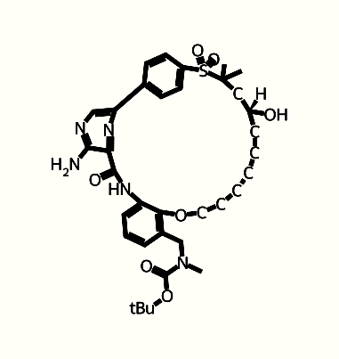 CN(Cc1cccc2c1OCCCCCC[C@@H](O)CC(C)(C)S(=O)(=O)c1ccc(cc1)-c1cnc(N)c(n1)C(=O)N2)C(=O)OC(C)(C)C